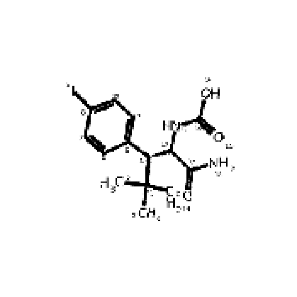 CC(C)(C)[C@@H](c1ccc(I)cc1)C(NC(=O)O)C(N)=O